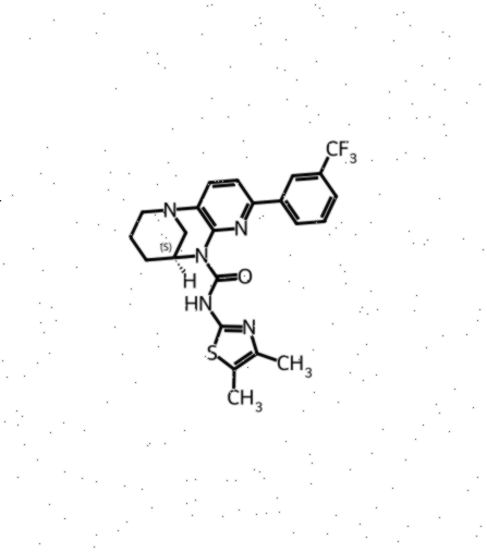 Cc1nc(NC(=O)N2c3nc(-c4cccc(C(F)(F)F)c4)ccc3N3CCC[C@H]2C3)sc1C